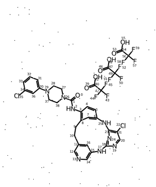 O=C(Nc1ccc2cc1CCc1cncc(c1)Nc1ncc(Cl)c(n1)N2)N1CCN(c2cccc(Cl)c2)CC1.O=C(O)C(F)(F)F.O=C(O)C(F)(F)F.O=C(O)C(F)(F)F